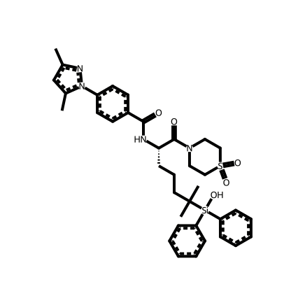 Cc1cc(C)n(-c2ccc(C(=O)N[C@@H](CCCC(C)(C)[Si](O)(c3ccccc3)c3ccccc3)C(=O)N3CCS(=O)(=O)CC3)cc2)n1